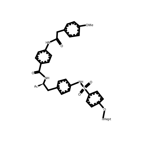 CCCCCCCOc1ccc(S(=O)(=O)Nc2ccc(C[C@H](NC(=O)c3ccc(NC(=O)Cc4ccc(OC)cc4)cc3)C(C)=O)cc2)cc1